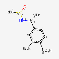 CC(C)[C@@H](N[S@+]([O-])C(C)(C)C)c1ccc(C(=O)O)c(C(C)(C)C)c1